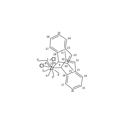 C[CH]=[Zr]([CH3])([CH3])([CH3])([CH3])([Cl])([Cl])([CH]1C(C)=Cc2ccccc21)[CH]1C(C)=Cc2ccccc21